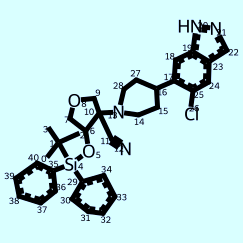 CC(C)(C)[Si](OC1COCC1(C#N)N1CCC(c2cc3[nH]ncc3cc2Cl)CC1)(c1ccccc1)c1ccccc1